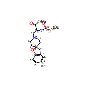 COC(=O)[C@H](CN1CCC2(CC1)Cc1cc(F)ccc1O2)NC(=O)OC(C)(C)C